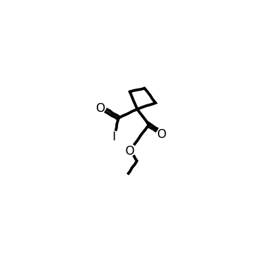 CCOC(=O)C1(C(=O)I)CCC1